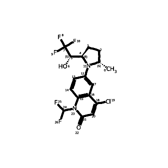 C[C@H]1CC[C@H]([C@H](O)C(F)(F)F)N1c1ccc2c(c1)c(Cl)cc(=O)n2C(F)F